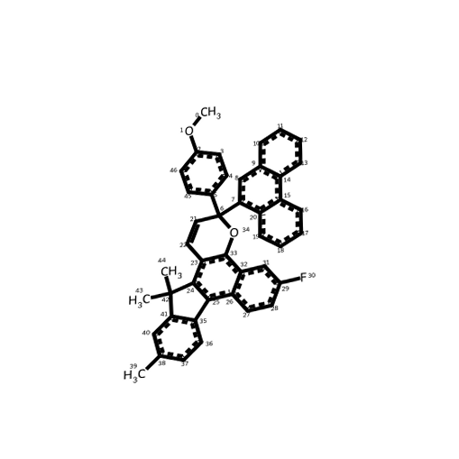 COc1ccc(C2(c3cc4ccccc4c4ccccc34)C=Cc3c4c(c5ccc(F)cc5c3O2)-c2ccc(C)cc2C4(C)C)cc1